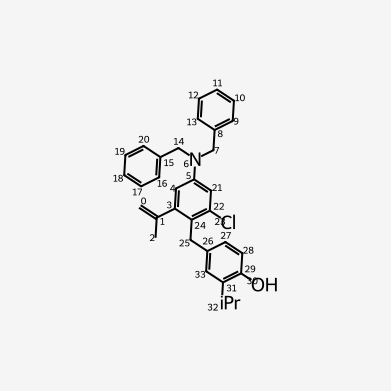 C=C(C)c1cc(N(Cc2ccccc2)Cc2ccccc2)cc(Cl)c1Cc1ccc(O)c(C(C)C)c1